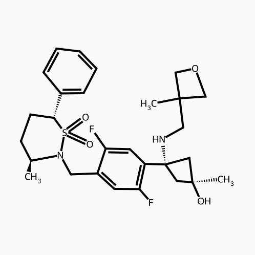 C[C@H]1CC[C@H](c2ccccc2)S(=O)(=O)N1Cc1cc(F)c([C@]2(NCC3(C)COC3)C[C@](C)(O)C2)cc1F